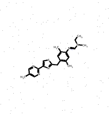 CCN(C)/C=N/c1cc(C)c(Cc2nc(-c3ncc(C)cn3)cs2)cc1C